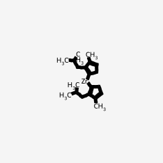 CC1=CC[C]([Zr][C]2=C(CC(C)C)C(C)=CC2)=C1CC(C)C